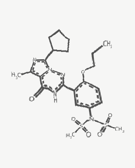 CCCOc1ccc(N(S(C)(=O)=O)S(C)(=O)=O)cc1-c1nn2c(C3CCCC3)nc(C)c2c(=O)[nH]1